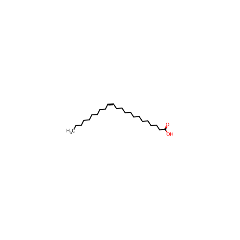 CCCCCCCCC/C=C\CCCCCCCCCCCC(=O)O